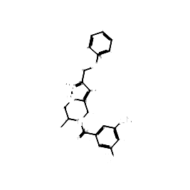 CC1Cn2nc(COc3ccccc3)cc2CN1C(=O)c1cc(F)cc(C#N)c1